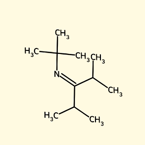 CC(C)C(=NC(C)(C)C)C(C)C